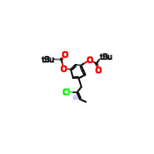 C/C=C(/Cl)Cc1cc(OC(=O)C(C)(C)C)cc(OC(=O)C(C)(C)C)c1